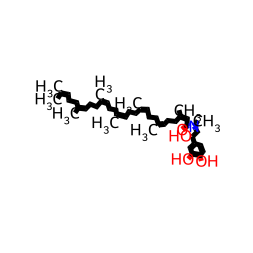 CC(C)=CCCC(C)=CCCC(C)=CCCC(C)=CCCC(C)=CCCC(C)=CCCC(C)=CC(=O)N(C)CC(O)c1ccc(O)c(O)c1